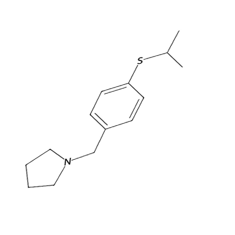 CC(C)Sc1ccc(CN2CCCC2)cc1